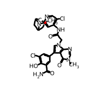 CN1CC2CC(C1)N2c1cc(NC(=O)Cn2cc(-c3cc(Cl)c(O)c(C(N)=O)c3)c3c(=O)n(C)cnc32)c(Cl)cn1